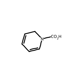 O=C(O)N1C=CC=CC1